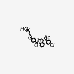 CC(=O)N(c1ccc(Cl)cc1)C1CC(C)N(C(=O)c2ccc(OCCCC(C)(C)O)cc2)c2ccccc21